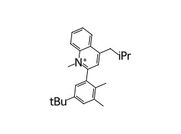 Cc1cc(C(C)(C)C)cc(-c2cc(CC(C)C)c3ccccc3[n+]2C)c1C